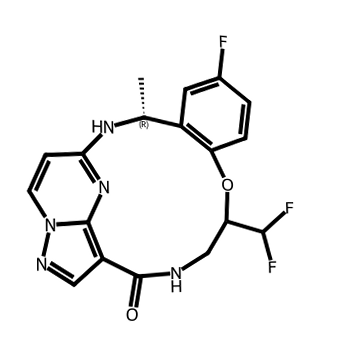 C[C@H]1Nc2ccn3ncc(c3n2)C(=O)NCC(C(F)F)Oc2ccc(F)cc21